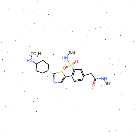 CC(C)NC(=O)Cc1ccc(-c2cnc([C@H]3CC[C@H](NC(=O)O)CC3)s2)c(S(=O)(=O)NC(C)(C)C)c1